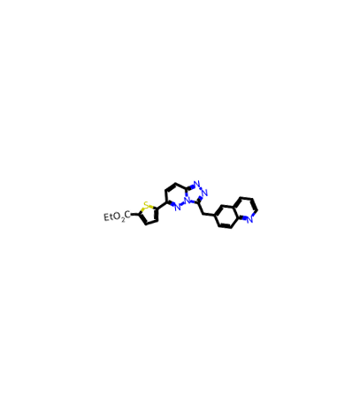 CCOC(=O)c1ccc(-c2ccc3nnc(Cc4ccc5ncccc5c4)n3n2)s1